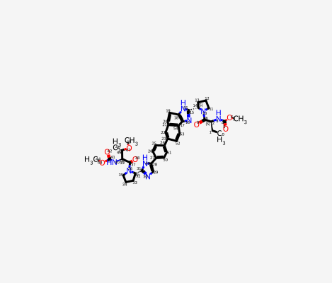 CC[C@H](NC(=O)OC)C(=O)N1CCC[C@H]1c1nc2c(ccc3cc(-c4ccc(-c5cnc([C@@H]6CCCN6C(=O)[C@@H](NC(=O)OC)[C@H](C)OC)[nH]5)cc4)ccc32)[nH]1